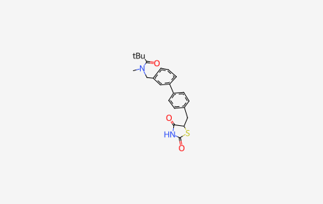 CN(Cc1cccc(-c2ccc(CC3SC(=O)NC3=O)cc2)c1)C(=O)C(C)(C)C